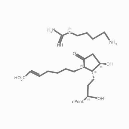 CCCCC[C@H](O)CC[C@H]1[C@H](O)CC(=O)[C@@H]1CCCCC=CC(=O)O.N=C(N)NCCCCN